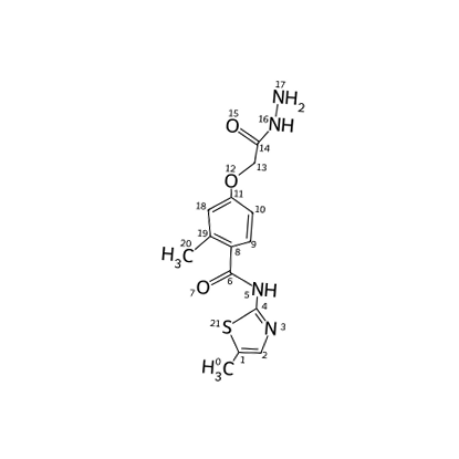 Cc1cnc(NC(=O)c2ccc(OCC(=O)NN)cc2C)s1